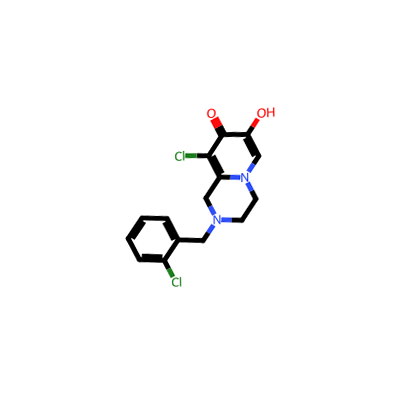 O=c1c(O)cn2c(c1Cl)CN(Cc1ccccc1Cl)CC2